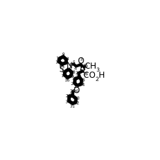 CN(C(=O)CCN1c2ccccc2Sc2ccccc21)[C@@H](Cc1ccc(OCc2ccccc2)cc1)C(=O)O